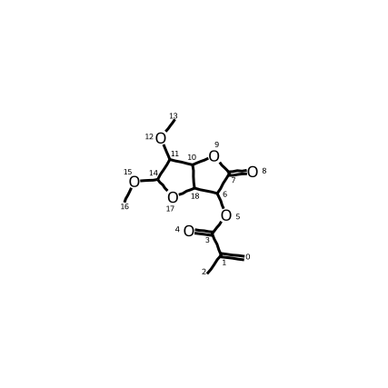 C=C(C)C(=O)OC1C(=O)OC2C(OC)C(OC)OC12